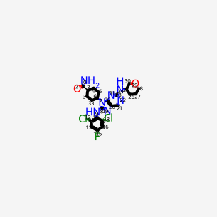 NC(=O)[C@H]1CC[C@@H](n2c(Nc3c(Cl)cc(F)cc3Cl)nc3cnc(NC4CCCOC4)nc32)CC1